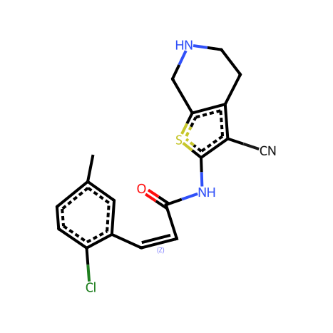 Cc1ccc(Cl)c(/C=C\C(=O)Nc2sc3c(c2C#N)CCNC3)c1